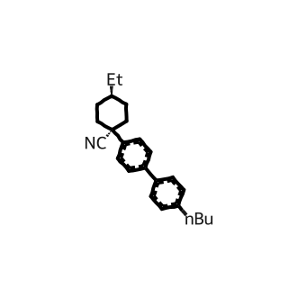 CCCCc1ccc(-c2ccc([C@]3(C#N)CC[C@H](CC)CC3)cc2)cc1